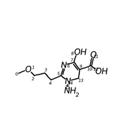 COCCCC1=NC(O)=C(C(=O)O)CN1N